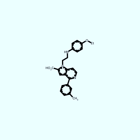 CCOc1ccc(NCCn2c(C(=O)O)cc3c(-c4cccc(C)c4)nccc32)cc1